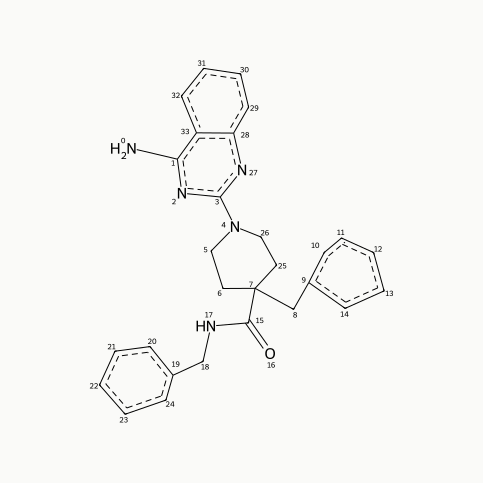 Nc1nc(N2CCC(Cc3ccccc3)(C(=O)NCc3ccccc3)CC2)nc2ccccc12